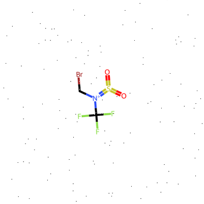 O=S(=O)=[N+](CBr)C(F)(F)F